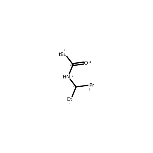 CCC(NC(=O)C(C)(C)C)C(C)C